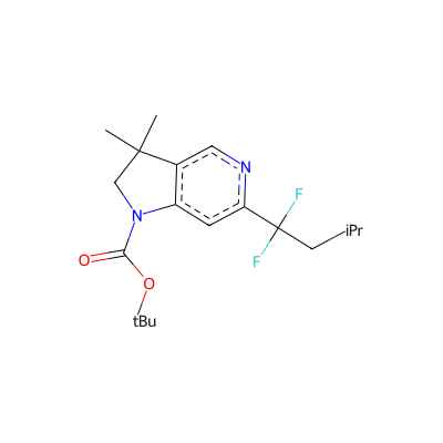 CC(C)CC(F)(F)c1cc2c(cn1)C(C)(C)CN2C(=O)OC(C)(C)C